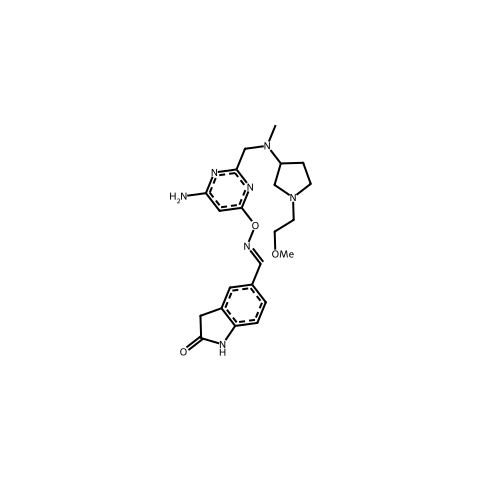 COCCN1CCC(N(C)Cc2nc(N)cc(ON=Cc3ccc4c(c3)CC(=O)N4)n2)C1